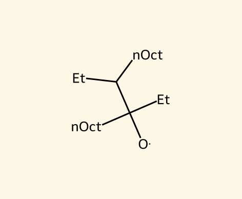 CCCCCCCCC(CC)C([O])(CC)CCCCCCCC